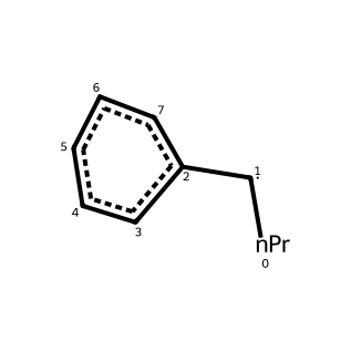 CCC[CH]c1ccccc1